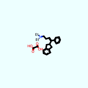 CCN(CC)CC/C=C(/c1ccccc1)C1Cc2ccccc2C1.O=C(O)C(=O)O